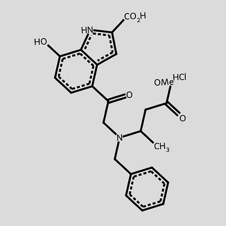 COC(=O)CC(C)N(CC(=O)c1ccc(O)c2[nH]c(C(=O)O)cc12)Cc1ccccc1.Cl